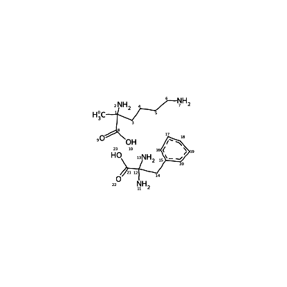 CC(N)(CCCCN)C(=O)O.NC(N)(Cc1ccccc1)C(=O)O